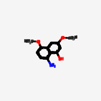 Nc1ccc(OS(=O)(=O)O)c2cc(OS(=O)(=O)O)cc(O)c12